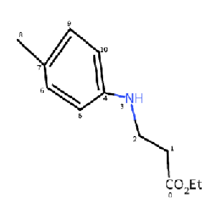 CCOC(=O)CCNc1ccc(C)cc1